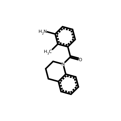 Cc1c(N)cccc1C(=O)N1CCCc2ccccc21